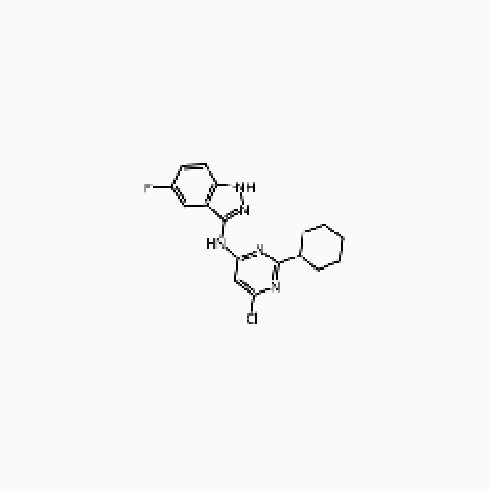 Fc1ccc2[nH]nc(Nc3cc(Cl)nc(C4CCCCC4)n3)c2c1